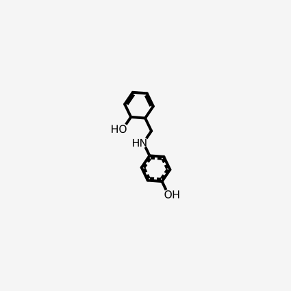 Oc1ccc(NCC2C=CC=CC2O)cc1